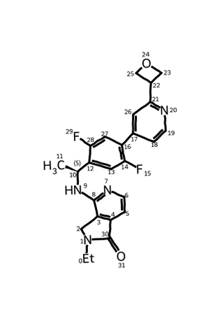 CCN1Cc2c(ccnc2N[C@@H](C)c2cc(F)c(-c3ccnc(C4COC4)c3)cc2F)C1=O